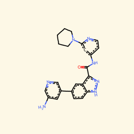 Nc1cncc(-c2ccc3[nH]nc(C(=O)Nc4ccnc(N5CCCCC5)c4)c3c2)c1